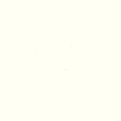 CC(N)CC(c1ccccc1)c1ccc(Br)cc1